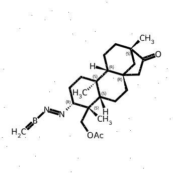 C=BN=N[C@@H]1CC[C@]2(C)[C@H](CC[C@@]34CC(=O)[C@@](C)(CC[C@H]32)C4)[C@]1(C)COC(C)=O